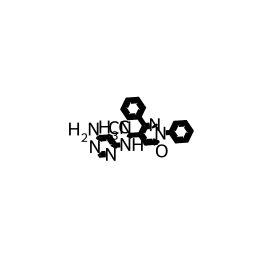 CC(Nc1ncnc(N)c1C#N)c1cc(=O)n(-c2ccccc2)nc1-c1ccccc1